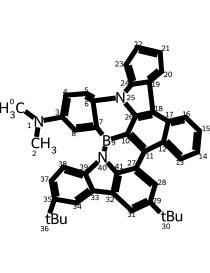 CN(C)c1ccc2c(c1)B1c3c(c4ccccc4c4c5ccccc5n-2c34)-c2cc(C(C)(C)C)cc3c4cc(C(C)(C)C)ccc4n1c23